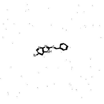 Brc1cnc2nc(SCc3ccccc3)[nH]c2c1